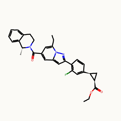 CCOC(=O)[C@@H]1C[C@@H]1c1ccc(-c2cc3cc(C(=O)N4CCc5ccccc5[C@H]4C)cc(CC)n3n2)c(F)c1